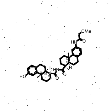 COCC(=O)Nc1ccc2c(c1)[C@@]1(C)CCC[C@](C)(C(=O)NC(=O)[C@@]3(C)CCC[C@]4(C)c5cc(O)ccc5CC[C@@H]34)[C@@H]1CC2